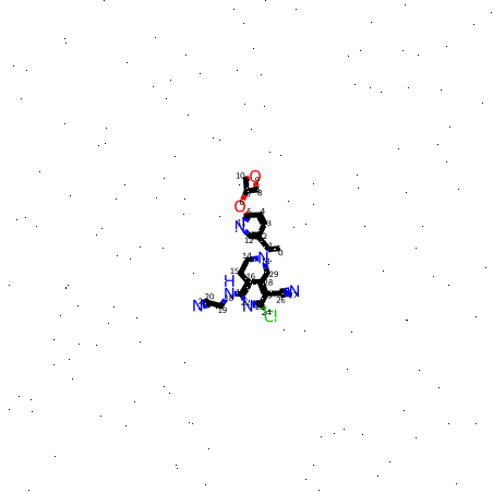 CC(c1ccc(OC2COC2)nc1)N1CCc2c(NCC#N)nc(Cl)c(C#N)c2C1